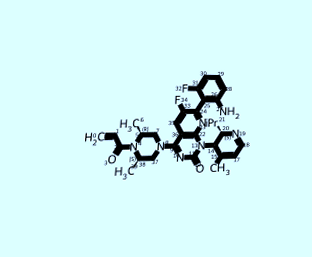 C=CC(=O)N1[C@H](C)CN(c2nc(=O)n(C3C(C)=CC=N[C@H]3C(C)C)c3nc(-c4c(N)cccc4F)c(F)cc23)C[C@@H]1C